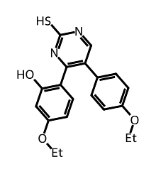 CCOc1ccc(-c2cnc(S)nc2-c2ccc(OCC)cc2O)cc1